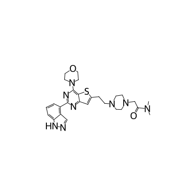 CN(C)C(=O)CN1CCN(CCc2cc3nc(-c4cccc5[nH]ncc45)nc(N4CCOCC4)c3s2)CC1